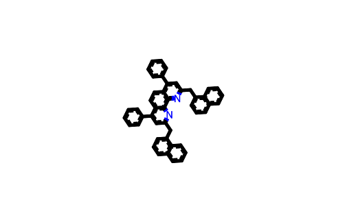 c1ccc(-c2cc(Cc3cccc4ccccc34)nc3c2ccc2c(-c4ccccc4)cc(Cc4cccc5ccccc45)nc23)cc1